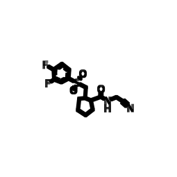 N#CCNC(=O)C1CCCCC1CS(=O)(=O)c1ccc(F)c(F)c1